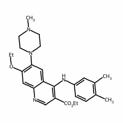 CCOC(=O)c1cnc2cc(OCC)c(N3CCN(C)CC3)cc2c1Nc1ccc(C)c(C)c1